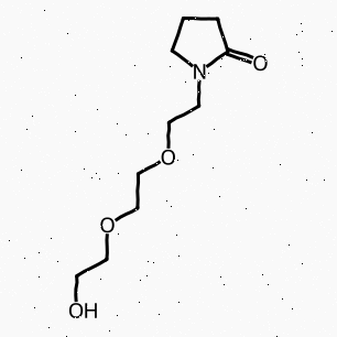 O=C1CCCN1CCOCCOCCO